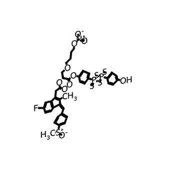 CC1=C(CC(=O)OC(COCCCCO[N+](=O)[O-])C(=O)Oc2ccc(P3(=S)SP(=S)(c4ccc(O)cc4)S3)cc2)c2cc(F)ccc2/C1=C\c1ccc([S+](C)[O-])cc1